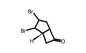 O=C1C[C@H]2C1CC(Br)C2Br